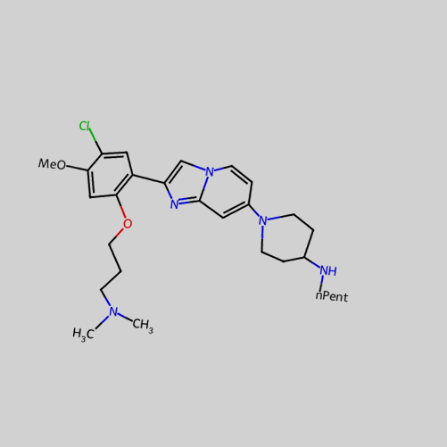 CCCCCNC1CCN(c2ccn3cc(-c4cc(Cl)c(OC)cc4OCCCN(C)C)nc3c2)CC1